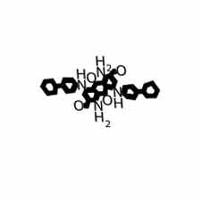 Nc1c(C=O)cc(Nc2ccc(C3CCCCC3)cc2)c2c1C(=O)c1c(Nc3ccc(C4CCCCC4)cc3)cc(C=O)c(N)c1C2=O